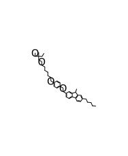 CCCCCc1ccc2c(c1)C(C)c1cc(COc3ccc(OCCCCCCOCC4(CC)COC4)cc3)ccc1-2